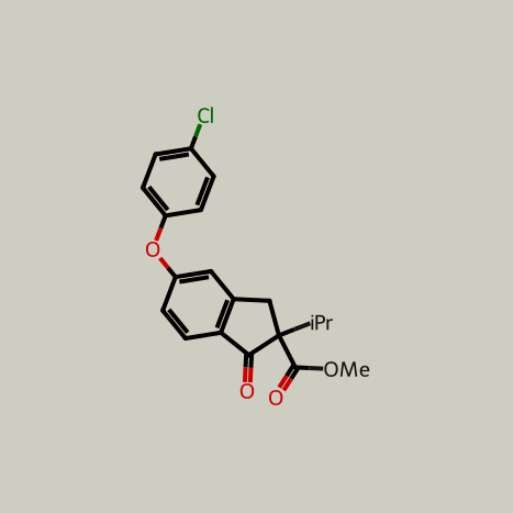 COC(=O)C1(C(C)C)Cc2cc(Oc3ccc(Cl)cc3)ccc2C1=O